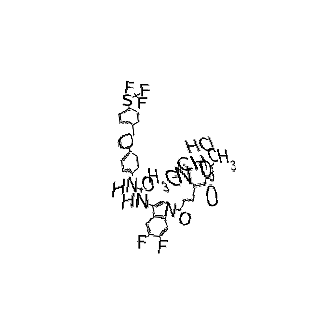 CCOC(=O)C(CCC(=O)n1cc(NC(=O)Nc2ccc(OCc3ccc(SC(F)(F)F)cc3)cc2)c2cc(F)c(F)cc21)N(C)C.Cl